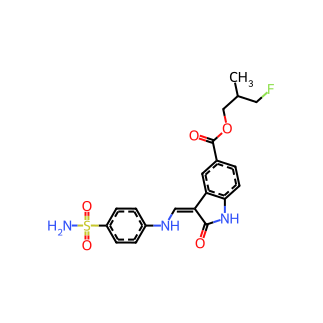 CC(CF)COC(=O)c1ccc2c(c1)/C(=C/Nc1ccc(S(N)(=O)=O)cc1)C(=O)N2